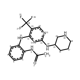 CC(=O)Nc1ccccc1Nc1nc(NC2CCCNC2)ncc1C(F)(F)F